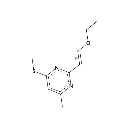 CCO/C=C/c1nc(C)cc(SC)n1